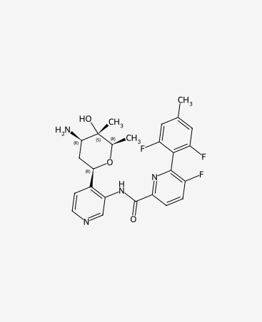 Cc1cc(F)c(-c2nc(C(=O)Nc3cnccc3[C@H]3C[C@@H](N)[C@](C)(O)[C@@H](C)O3)ccc2F)c(F)c1